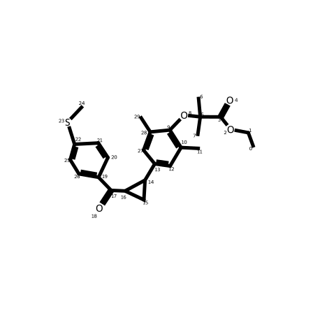 CCOC(=O)C(C)(C)Oc1c(C)cc(C2CC2C(=O)c2ccc(SC)cc2)cc1C